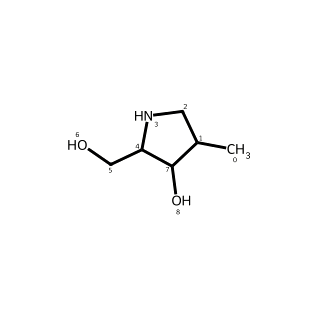 CC1CNC(CO)C1O